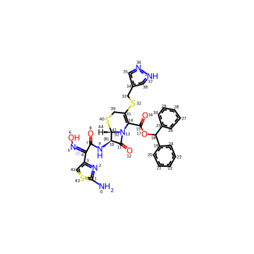 Nc1nc(/C(=N/O)C(=O)N[C@@H]2C(=O)N3C(C(=O)OC(c4ccccc4)c4ccccc4)=C(SCc4cn[nH]c4)CS[C@@H]23)cs1